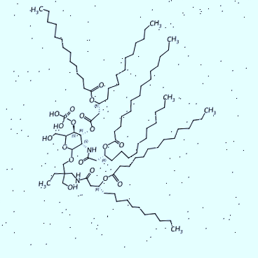 CCCCCCCCCCCCCC(=O)O[C@H](CCCCCCCCCCC)CC(=O)NCC(CC)(CO)COC1OC(CO)[C@@H](OP(=O)(O)O)[C@H](OC(=O)C[C@@H](CCCCCCCCCCC)OC(=O)CCCCCCCCCCCCC)[C@@H]1NC(=O)C[C@@H](CCCCCCCCCCC)OC(=O)CCCCCCCCCCCCC